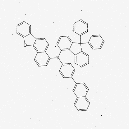 c1ccc(C2(c3ccccc3)c3ccccc3-c3c(N(c4ccc(-c5ccc6ccccc6c5)cc4)c4cccc5c4ccc4c6ccccc6oc54)cccc32)cc1